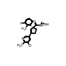 Cc1ncc(C2=C[C@](C(=O)NOO)(c3cccc(F)c3C)CC2)cc1Cl